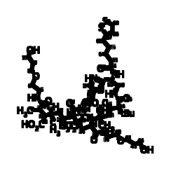 CC(C(=O)NCCOCCCO)C(C(=O)O)C(C)(C)CC(C(=O)O)C(C(=O)NCCc1c[nH]cn1)C(C)(C)CC(C(=O)NCCOCCCO)C(C(=O)O)C(C)(C)CC(C(=O)O)C(C(=O)NCCNC(=O)CCCCC1CCSS1)C(C)(C)C